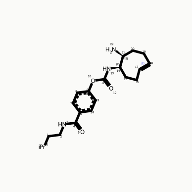 CC(C)CCNC(=O)c1ccc(OC(=O)N[C@@H]2CC/C=C/CC[C@@H]2N)cc1